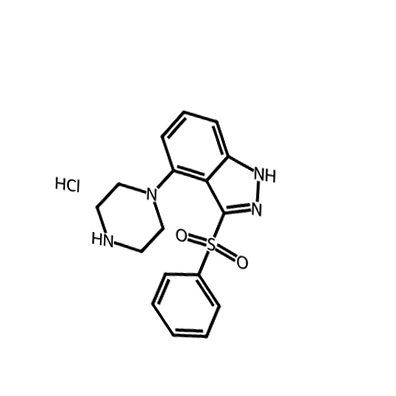 Cl.O=S(=O)(c1ccccc1)c1n[nH]c2cccc(N3CCNCC3)c12